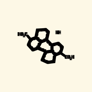 O=C(O)c1ccc2c3cccc4c(C(=O)O)ccc(c5cccc1c52)c43.[KH]